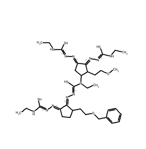 CCN/C(S)=N/N=C1\CCC(CCOCc2ccccc2)\C1=N/N=C(\S)N(CC)C1CC(=N\N=C(/S)NCC)/C(=N/N=C(\S)NCC)C1CCOC